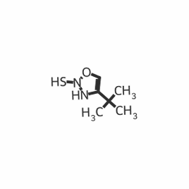 CC(C)(C)C1=CON(S)N1